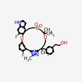 Cn1nc2nc1-c1cc(ccc1F)Oc1c(F)cc3[nH]ccc3c1CCS(=O)(=O)CC(C)(C)OCCC2(C)c1cccc(CCO)c1